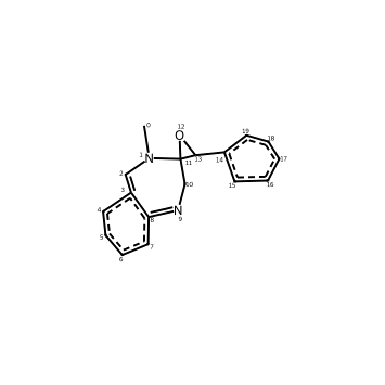 CN1C=c2ccccc2=NCC12OC2c1ccccc1